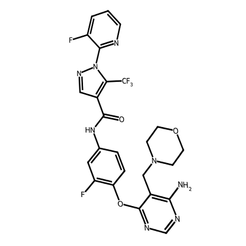 Nc1ncnc(Oc2ccc(NC(=O)c3cnn(-c4ncccc4F)c3C(F)(F)F)cc2F)c1CN1CCOCC1